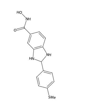 CSc1ccc(C2Nc3ccc(C(=O)NO)cc3N2)cc1